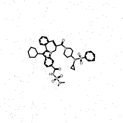 CN(C)S(=O)(=O)NC(=O)c1ccc2c(C3CCCCC3)c3n(c2c1)CC(C(=O)N1CCC(N(C2CC2)S(=O)(=O)c2ccccc2)CC1)=Cc1ccccc1-3